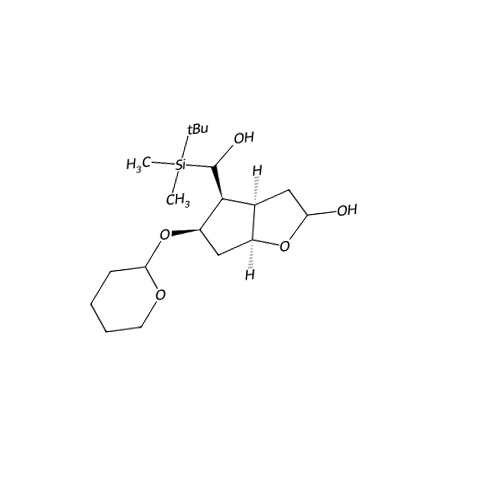 CC(C)(C)[Si](C)(C)C(O)[C@H]1[C@H]2CC(O)O[C@H]2C[C@H]1OC1CCCCO1